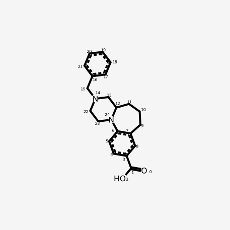 O=C(O)c1ccc2c(c1)CCCC1CN(Cc3ccccc3)CCN21